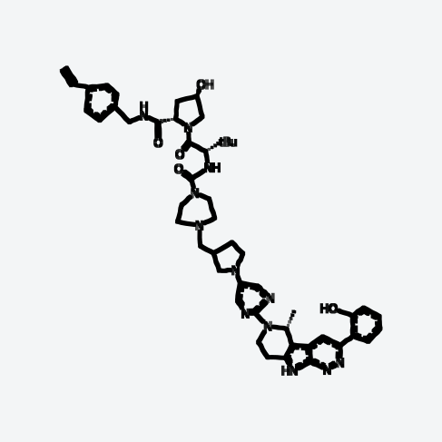 C#Cc1ccc(CNC(=O)[C@@H]2C[C@@H](O)CN2C(=O)[C@@H](NC(=O)N2CCN(CC3CCN(c4cnc(N5CCc6[nH]c7nnc(-c8ccccc8O)cc7c6[C@H]5C)nc4)C3)CC2)C(C)(C)C)cc1